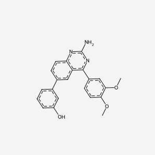 COc1ccc(-c2nc(N)nc3ccc(-c4cccc(O)c4)cc23)cc1OC